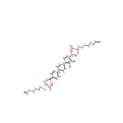 C=CCCCCCCC1COC(c2ccc(-c3ccc(-c4ccc([C@@H]5OC[C@@H](CCCCCCC=C)C(C)O5)cc4)cc3)c(F)c2F)OC1C